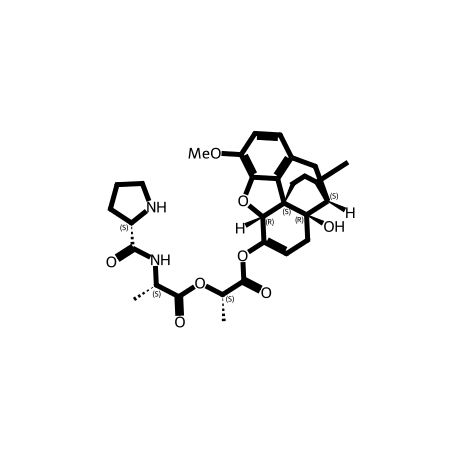 COc1ccc2c3c1O[C@H]1C(OC(=O)[C@H](C)OC(=O)[C@H](C)NC(=O)[C@@H]4CCCN4)=CC[C@@]4(O)[C@@H](C2)C(C)CC[C@]314